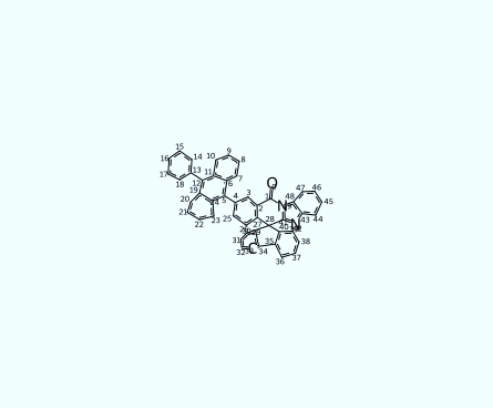 O=C1c2cc(-c3c4ccccc4c(-c4ccccc4)c4ccccc34)ccc2C2(c3ccccc3-c3ccccc32)c2nc3ccccc3n21